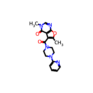 Cc1oc2ncn(C)c(=O)c2c1C(=O)N1CCN(c2ccccn2)CC1